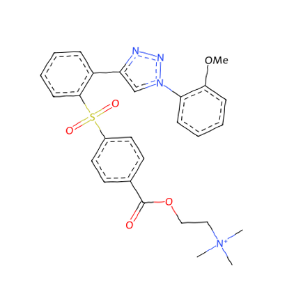 COc1ccccc1-n1cc(-c2ccccc2S(=O)(=O)c2ccc(C(=O)OCC[N+](C)(C)C)cc2)nn1